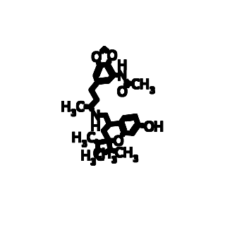 CC(=O)Nc1cc(CCC(C)NCC2CC(C(C)C)(C(C)C)Oc3cc(O)ccc32)cc2c1OCO2